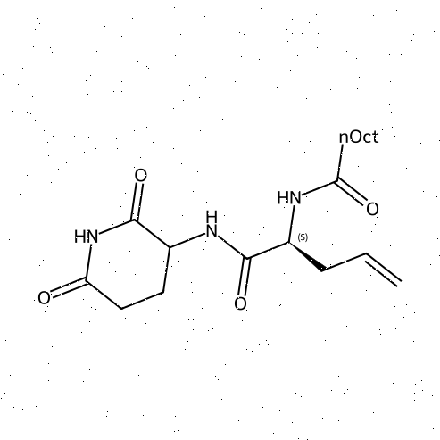 C=CC[C@H](NC(=O)CCCCCCCC)C(=O)NC1CCC(=O)NC1=O